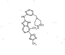 Cc1noc(-c2ccc3nc(Nc4cc(CN5CCNCC5)ccn4)[nH]c3c2C)n1.Cl